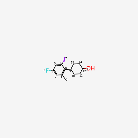 Cc1cc(F)cc(I)c1C1CCC(O)CC1